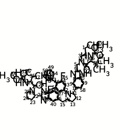 CCCCN(Cc1nc2cc([C@H]3CCC(Cc4ccc5[nH]c([C@@H]6CCCN6C(=O)[C@@H](NC(=O)OC)C(C)C)nc5c4)N3c3cc(F)c(N4CC5CCC4CC5)c(F)c3)ccc2[nH]1)C(=O)[C@@H](NC(=O)OC)C(C)C